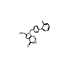 CCCCc1nc2c(=O)[nH]cnc2n1Cc1ccc(-c2ccccc2C)cc1